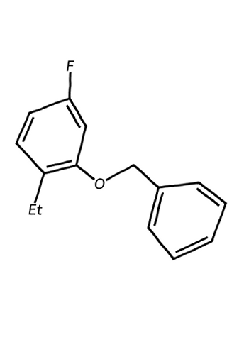 CCc1ccc(F)cc1OCc1ccccc1